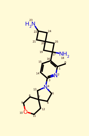 Cc1nc(N2CCC3(CCOCC3)C2)ccc1C1(N)CC2(CC(N)C2)C1